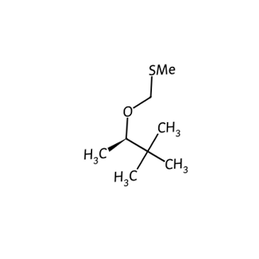 CSCO[C@H](C)C(C)(C)C